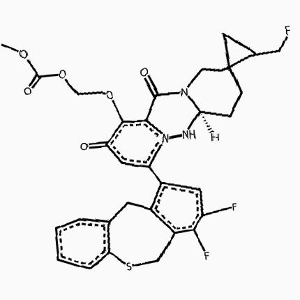 COC(=O)OCOc1c2n(c(-c3cc(F)c(F)c4c3Cc3ccccc3SC4)cc1=O)N[C@@H]1CCC3(CC3CF)CN1C2=O